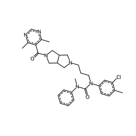 Cc1ccc(N(CCCN2CC3CN(C(=O)c4c(C)ncnc4C)CC3C2)C(=O)N(C)c2ccccc2)cc1Cl